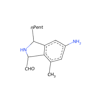 CCCCCC1NC(C=O)c2c(C)cc(N)cc21